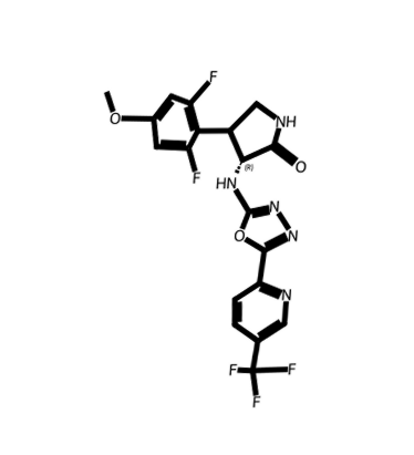 COc1cc(F)c(C2CNC(=O)[C@@H]2Nc2nnc(-c3ccc(C(F)(F)F)cn3)o2)c(F)c1